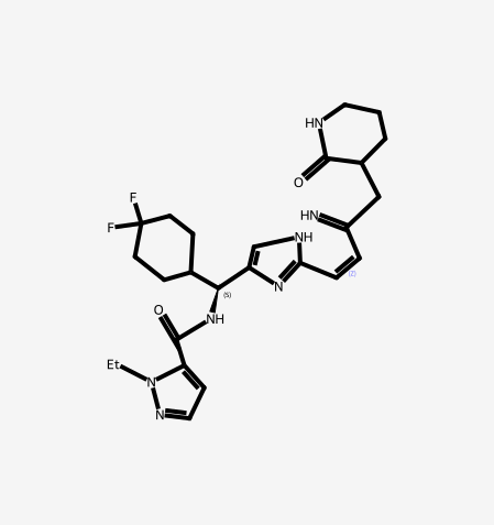 CCn1nccc1C(=O)N[C@H](c1c[nH]c(/C=C\C(=N)CC2CCCNC2=O)n1)C1CCC(F)(F)CC1